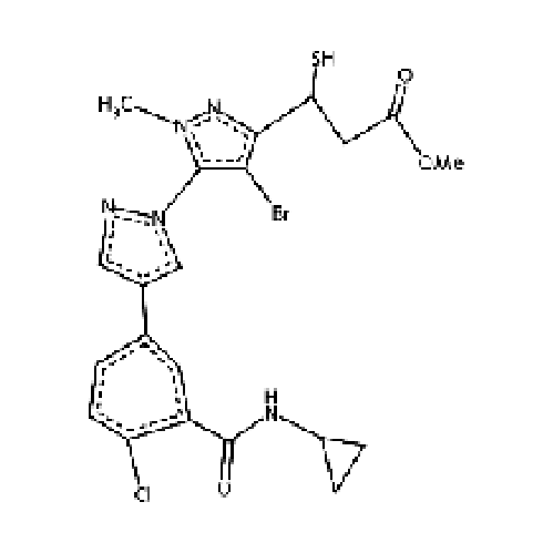 COC(=O)CC(S)c1nn(C)c(-n2cc(-c3ccc(Cl)c(C(=O)NC4CC4)c3)cn2)c1Br